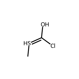 C[SH]=C(O)Cl